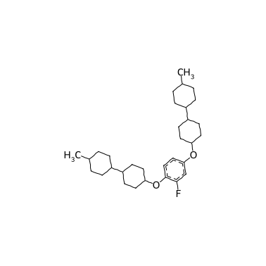 CC1CCC(C2CCC(Oc3ccc(OC4CCC(C5CCC(C)CC5)CC4)c(F)c3)CC2)CC1